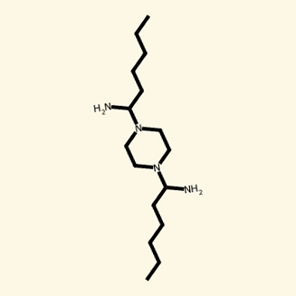 CCCCCC(N)N1CCN(C(N)CCCCC)CC1